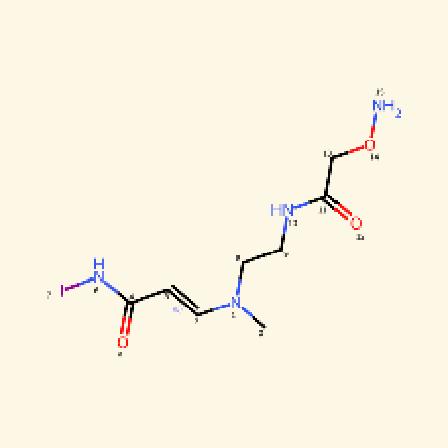 CN(/C=C/C(=O)NI)CCNC(=O)CON